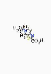 CCC(C)(C)N1CCc2nc(C(=O)O)sc2C1